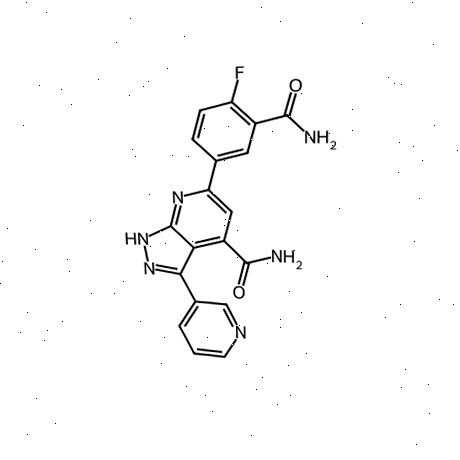 NC(=O)c1cc(-c2cc(C(N)=O)c3c(-c4cccnc4)n[nH]c3n2)ccc1F